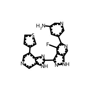 Nc1cncc(-c2ncc3[nH]nc(-c4nc5c(-c6ccsc6)cncc5[nH]4)c3c2F)c1